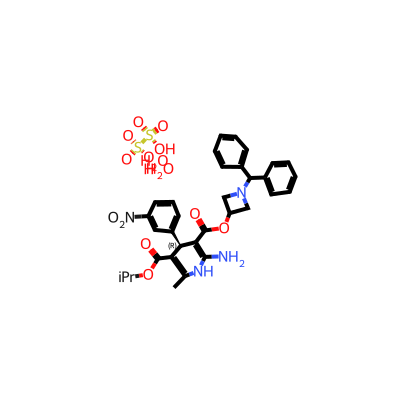 CC1=C(C(=O)OC(C)C)[C@@H](c2cccc([N+](=O)[O-])c2)C(C(=O)OC2CN(C(c3ccccc3)c3ccccc3)C2)=C(N)N1.O.O.O=S(=O)(O)S(=O)(=O)O